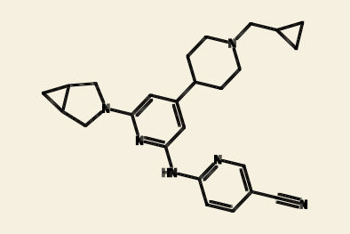 N#Cc1ccc(Nc2cc(C3CCN(CC4CC4)CC3)cc(N3CC4CC4C3)n2)nc1